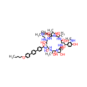 CCCCCOc1ccc(-c2ccc(-c3ccc(C(=O)N[C@H]4C[C@@H](O)[C@@H](NCC[N+](C)(C)C)NC(=O)[C@@H]5[C@@H](O)[C@@H](C)CN5C(=O)[C@H]([C@@H](C)O)NC(=O)[C@H]([C@H](O)[C@@H](O)c5ccc(O)c(NC)c5)NC(=O)[C@@H]5C[C@@H](O)CN5C(=O)[C@H]([C@@H](C)O)NC4=O)cc3)cc2)cc1